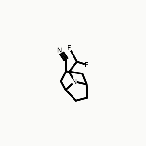 N#CC1CC2CCC(C1)N2CC(F)F